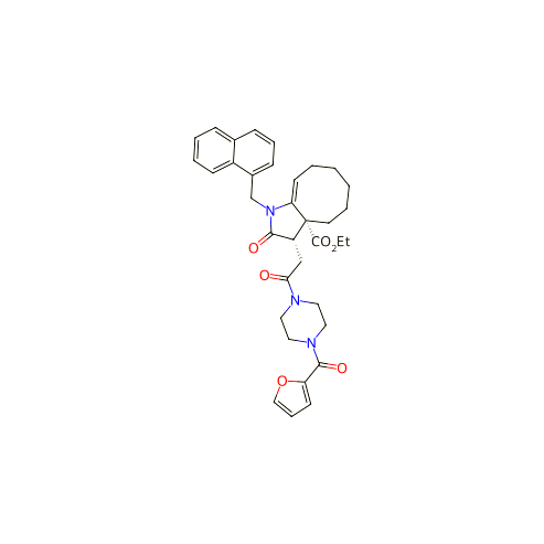 CCOC(=O)[C@@]12CCCCC/C=C\1N(Cc1cccc3ccccc13)C(=O)[C@H]2CC(=O)N1CCN(C(=O)c2ccco2)CC1